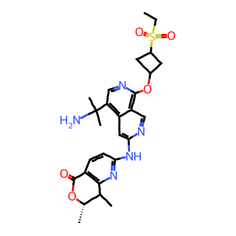 CCS(=O)(=O)C1CC(Oc2ncc(C(C)(C)N)c3cc(Nc4ccc5c(n4)C(C)[C@H](C)OC5=O)ncc23)C1